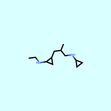 CCNC1CC1CC(C)CNC1CC1